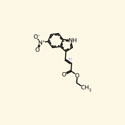 CCOC(=O)/C=C/c1c[nH]c2ccc([N+](=O)[O-])cc12